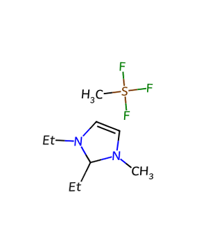 CCC1N(C)C=CN1CC.CS(F)(F)F